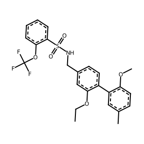 CCOc1cc(CNS(=O)(=O)c2ccccc2OC(F)(F)F)ccc1-c1cc(C)ccc1OC